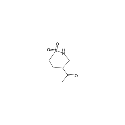 CC(=O)C1CCS(=O)(=O)NC1